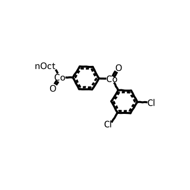 CCCCCCC[CH2][Co](=[O])[c]1cc[c]([Co](=[O])[c]2cc(Cl)cc(Cl)c2)cc1